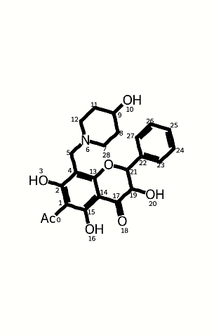 CC(=O)c1c(O)c(CN2CCC(O)CC2)c2c(c1O)C(=O)C(O)C(c1ccccc1)O2